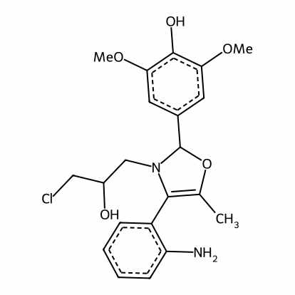 COc1cc(C2OC(C)=C(c3ccccc3N)N2CC(O)CCl)cc(OC)c1O